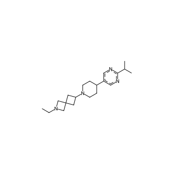 CCN1CC2(CC(N3CCC(c4cnc(C(C)C)nc4)CC3)C2)C1